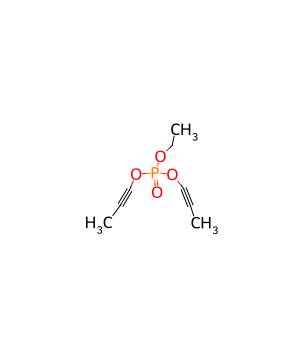 CC#COP(=O)(OC#CC)OCC